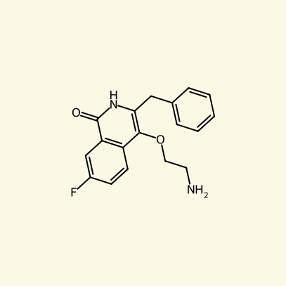 NCCOc1c(Cc2ccccc2)[nH]c(=O)c2cc(F)ccc12